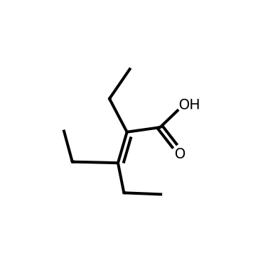 CCC(CC)=C(CC)C(=O)O